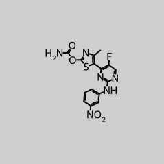 Cc1nc(OC(N)=O)sc1-c1nc(Nc2cccc([N+](=O)[O-])c2)ncc1F